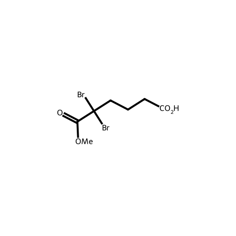 COC(=O)C(Br)(Br)CCCC(=O)O